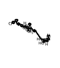 CCCC[C@@H](CC(NCCCCCCCCCN1CCN(CCC(CSc2ccccc2)Nc2ccc(S(=O)(=O)NC(=O)c3ccc(N4CCN(CC5=C(c6ccc(Cl)cc6)CCC(C)(C)C5)CC4)cc3)cc2S(=O)(=O)C(F)(F)F)CC1)C(C)(C)C)N1C[C@H](O)C[C@H]1C(=O)N[C@@H](C)c1ccc(-c2scnc2C)cc1